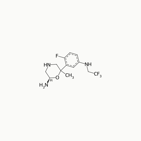 CC1(c2cc(NCC(F)(F)F)ccc2F)CNC[C@H](N)O1